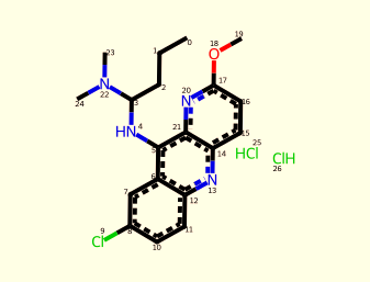 CCCC(Nc1c2cc(Cl)ccc2nc2ccc(OC)nc12)N(C)C.Cl.Cl